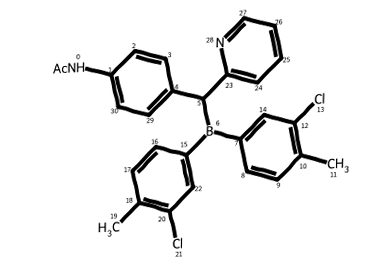 CC(=O)Nc1ccc(C(B(c2ccc(C)c(Cl)c2)c2ccc(C)c(Cl)c2)c2ccccn2)cc1